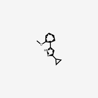 COc1ccccc1-c1cc(C2CC2)n[nH]1